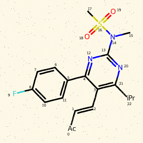 CC(=O)/C=C/c1c(-c2ccc(F)cc2)nc(N(C)S(C)(=O)=O)nc1C(C)C